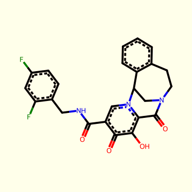 O=C(NCc1ccc(F)cc1F)c1cn2c(c(O)c1=O)C(=O)N1CCc3ccccc3C2C1